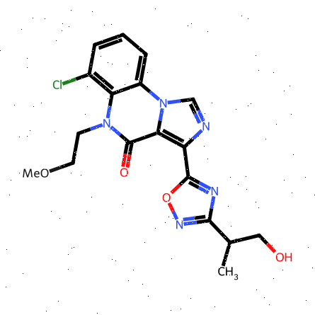 COCCn1c(=O)c2c(-c3nc(C(C)CO)no3)ncn2c2cccc(Cl)c21